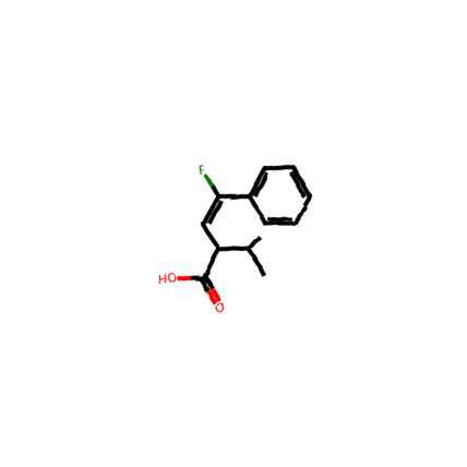 CC(C)C(/C=C(/F)c1ccccc1)C(=O)O